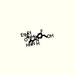 CCN(CC)C(=O)Nc1c[nH]nc1-c1nc2cc(F)c(CCO)cc2[nH]1